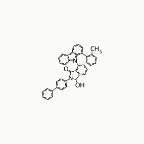 Cc1ccccc1-c1cccc2c3ccccc3n(-c3cccc4c3C(=O)N(c3ccc(-c5ccccc5)cc3)C4O)c12